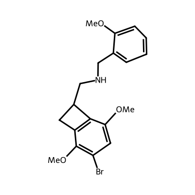 COc1ccccc1CNCC1Cc2c(OC)c(Br)cc(OC)c21